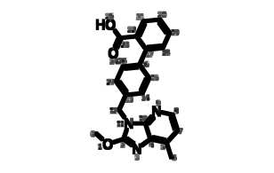 COc1nc2c(C)ccnc2n1Cc1ccc(-c2ccccc2C(=O)O)cc1